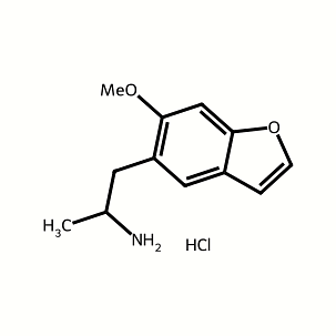 COc1cc2occc2cc1CC(C)N.Cl